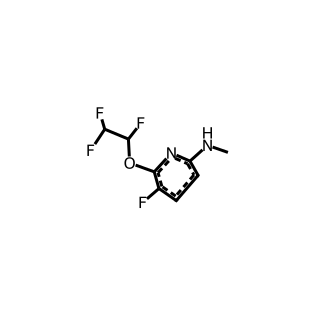 CNc1ccc(F)c(OC(F)C(F)F)n1